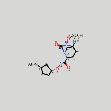 CN[C@@H]1CC[C@@H](ONC(=O)[C@@H]2CC[C@@H]3CN2C(=O)N3OS(=O)(=O)O)C1